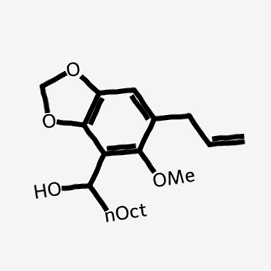 C=CCc1cc2c(c(C(O)CCCCCCCC)c1OC)OCO2